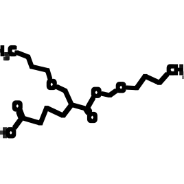 CCCCOCOC(=O)C(CCCC(=O)O)COCCCC